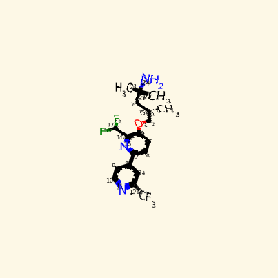 C[C@H](COc1ccc(-c2ccnc(C(F)(F)F)c2)nc1C(F)F)CC(C)(C)N